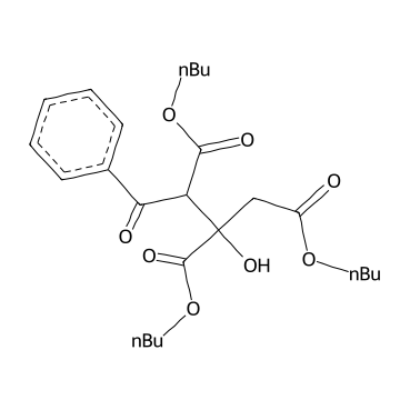 CCCCOC(=O)CC(O)(C(=O)OCCCC)C(C(=O)OCCCC)C(=O)c1ccccc1